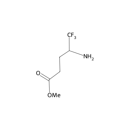 COC(=O)CCC(N)C(F)(F)F